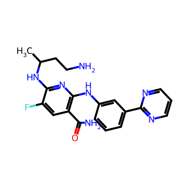 CC(CCN)Nc1nc(Nc2cccc(-c3ncccn3)c2)c(C(N)=O)cc1F